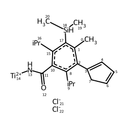 Cc1c(C2=CC=CC2)c(C(C)C)c(C(=O)[NH][Ti+2])c(C(C)C)c1[SiH](C)C.[Cl-].[Cl-]